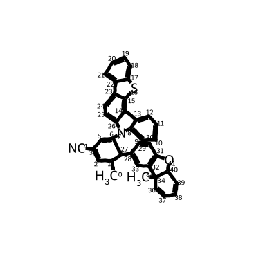 CC1C=C(C#N)C=C(n2c3ccccc3c3c4sc5ccccc5c4ccc32)C1c1ccc2c(c1)C1(C)C=CC=CC1O2